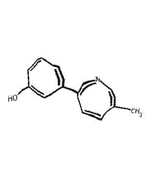 Cc1ccc(-c2cccc(O)c2)nc1